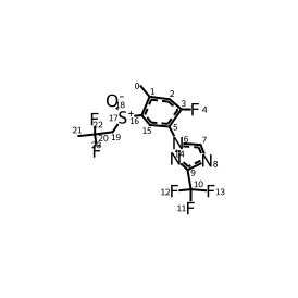 Cc1cc(F)c(-n2cnc(C(F)(F)F)n2)cc1[S@@+]([O-])CC(C)(F)F